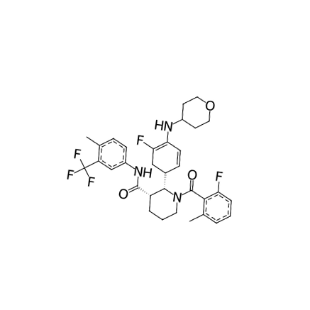 Cc1ccc(NC(=O)[C@H]2CCCN(C(=O)c3c(C)cccc3F)[C@H]2C2C=CC(NC3CCOCC3)=C(F)C2)cc1C(F)(F)F